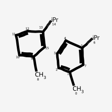 Cc1cccc(C(C)C)c1.Cc1cccc(C(C)C)c1